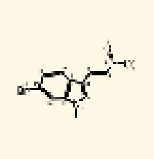 Cn1cc(C=C[N+](=O)[O-])c2ccc(Br)cc21